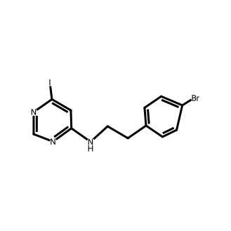 Brc1ccc(CCNc2cc(I)ncn2)cc1